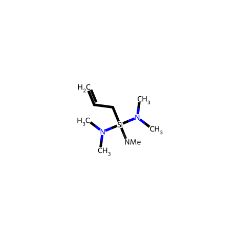 C=CC[Si](NC)(N(C)C)N(C)C